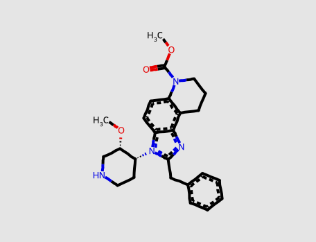 COC(=O)N1CCCc2c1ccc1c2nc(Cc2ccccc2)n1[C@@H]1CCNC[C@@H]1OC